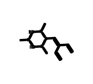 C=CC(C=C)=CB1N(C)BN(C)BN1C